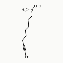 [CH2]CC#CCCCCCCN(C)C=O